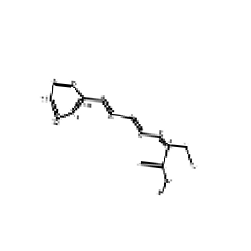 C=C(CC)C(=CC=CC=Cc1ccccc1)CC